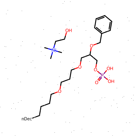 CCCCCCCCCCCCCCOCCCOCC(COP(=O)(O)O)OCc1ccccc1.C[N+](C)(C)CCO